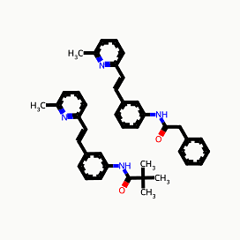 Cc1cccc(C=Cc2cccc(NC(=O)C(C)(C)C)c2)n1.Cc1cccc(C=Cc2cccc(NC(=O)Cc3ccccc3)c2)n1